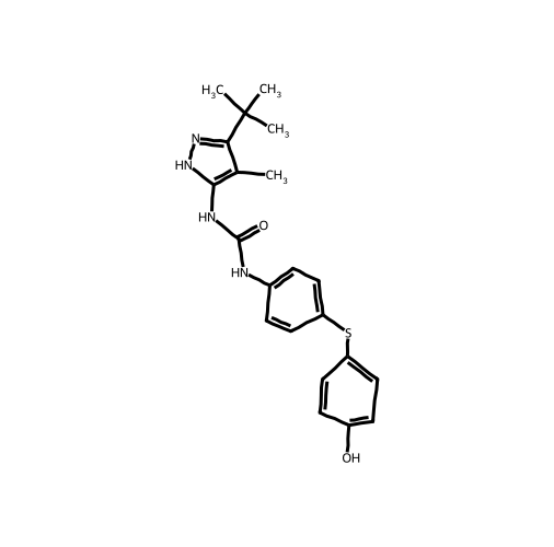 Cc1c(C(C)(C)C)n[nH]c1NC(=O)Nc1ccc(Sc2ccc(O)cc2)cc1